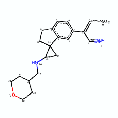 CN/C=C(\C=N)c1ccc2c(c1)C1(CC2)CC1NCC1CCOCC1